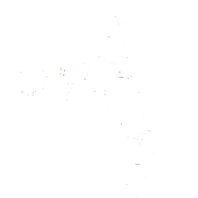 C=C/C(=C\C=O)NC(=O)C1=Cc2cc(-c3ccc(OCCOCCCC)cc3)ccc2N(CC2COC2)CC1